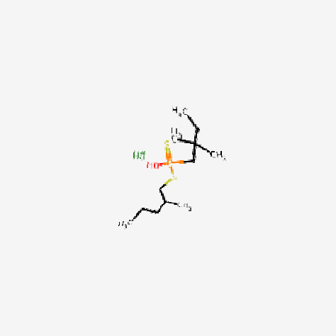 CCCC(C)CSP(O)(=S)CC(C)(C)CC.Cl